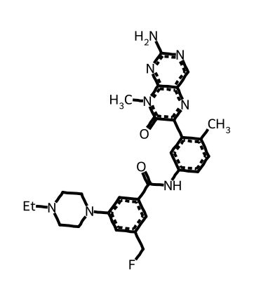 CCN1CCN(c2cc(CF)cc(C(=O)Nc3ccc(C)c(-c4nc5cnc(N)nc5n(C)c4=O)c3)c2)CC1